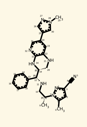 Cc1cc(C#N)nn1[C@H](C)CN[C@H](c1ccccc1)[C@H]1CNc2cc(-c3cnn(C)c3)cnc2N1